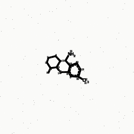 CC1CCCCC1Sc1cc(C(F)(F)F)ccc1CN